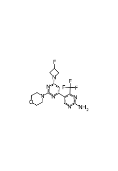 Nc1ncc(-c2cc(N3CC(F)C3)nc(N3CCOCC3)n2)c(C(F)(F)F)n1